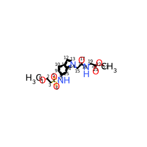 COCCS(=O)(=O)Nc1ccc2ccn(CC(=O)NCC(=O)OC)c2c1